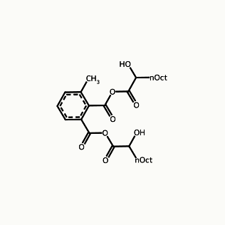 CCCCCCCCC(O)C(=O)OC(=O)c1cccc(C)c1C(=O)OC(=O)C(O)CCCCCCCC